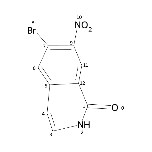 O=c1[nH]ccc2cc(Br)c([N+](=O)[O-])cc12